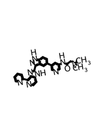 CN(C)CC(=O)Nc1cncc(-c2ccc3[nH]nc(-c4nc5c(-c6ccccn6)nccc5[nH]4)c3c2)c1